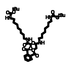 CC(C)(C)OC(=O)NCCCCCCCCNC(=O)COC(=O)c1ccccc1C(=O)OCC(=O)NCCCCCCCCNC(=O)OC(C)(C)C